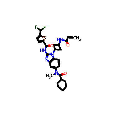 C=CC(=O)NC1CC(n2c(NC(=O)c3ccc(C(F)F)s3)nc3cc(N(C)C(=O)C4CCCCC4)ccc32)C1